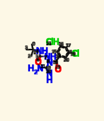 CC(C)(C)NC(=O)NN(C(=N)N)C(=O)c1cccc(Cl)c1.Cl